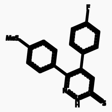 CSc1ccc(-c2n[nH]c(=S)cc2-c2ccc(F)cc2)cc1